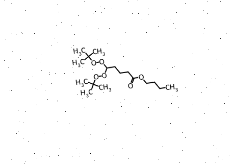 CCCCOC(=O)CCCC(OOC(C)(C)C)OOC(C)(C)C